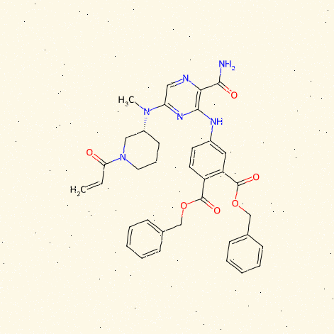 C=CC(=O)N1CCC[C@@H](N(C)c2cnc(C(N)=O)c(Nc3ccc(C(=O)OCc4ccccc4)c(C(=O)OCc4ccccc4)c3)n2)C1